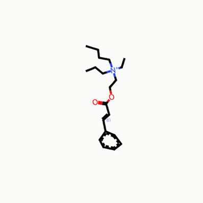 CCCC[N+](CC)(CCC)CCOC(=O)/C=C/c1ccccc1